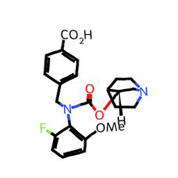 COc1cccc(F)c1N(Cc1ccc(C(=O)O)cc1)C(=O)O[C@H]1CN2CCC1CC2